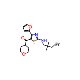 CC(C)CC(C)(C)CNc1nc(-c2ccco2)c(C(=O)C2CCOCC2)s1